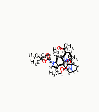 CCOC1CC2CCC(c3ccc(C(C)=O)cn3)(C1)N2Cc1c(OC)cc(C)c2c1ccn2C(=O)OC(C)(C)C